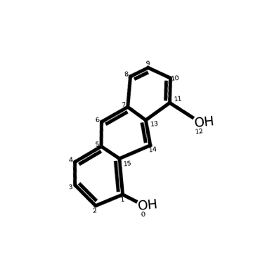 Oc1cccc2cc3cccc(O)c3cc12